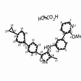 COc1ncccc1-c1cccc(Nc2c(C)noc2-c2ccc(-c3ccc(C4CC4)cc3)cc2)c1.O=C(O)O